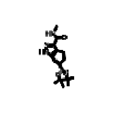 CNC(=O)c1n[nH]c2cc(B3OC(C)(C)C(C)(C)O3)ccc12